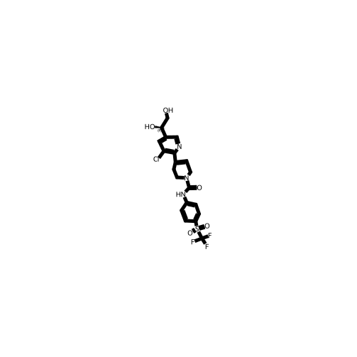 O=C(Nc1ccc(S(=O)(=O)C(F)(F)F)cc1)N1CC=C(c2ncc([C@@H](O)CO)cc2Cl)CC1